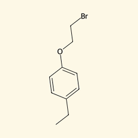 CCc1ccc(OCCBr)cc1